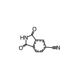 N#Cc1ccc2c(c1)C(=O)NC2=O